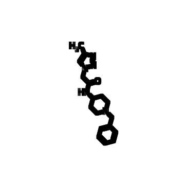 Cc1cn(CC(=O)NC2CCN(Cc3ccccc3)CC2)nn1